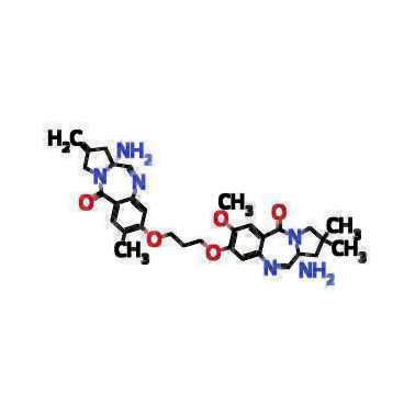 C=C1CN2C(=O)c3cc(C)c(OCCCOc4cc5c(cc4OC)C(=O)N4CC(C)(C)C[C@@]4(N)C=N5)cc3N=C[C@]2(N)C1